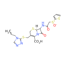 C=CCn1cnnc1SCC1=C(C(=O)O)N2C(=O)C(NC(=O)C[S+]([O-])c3cccs3)[C@@H]2SC1